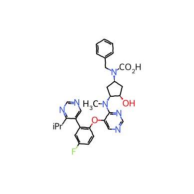 CC(C)c1ncncc1-c1cc(F)ccc1Oc1cncnc1N(C)[C@H]1C[C@@H](N(Cc2ccccc2)C(=O)O)C[C@H]1O